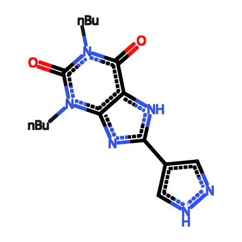 CCCCn1c(=O)c2[nH]c(-c3cn[nH]c3)nc2n(CCCC)c1=O